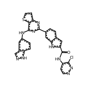 O=C(Nc1ccnnc1Cl)c1cc2ccc(-c3nc(Nc4ccc5[nH]ncc5c4)c4sccc4n3)cc2[nH]1